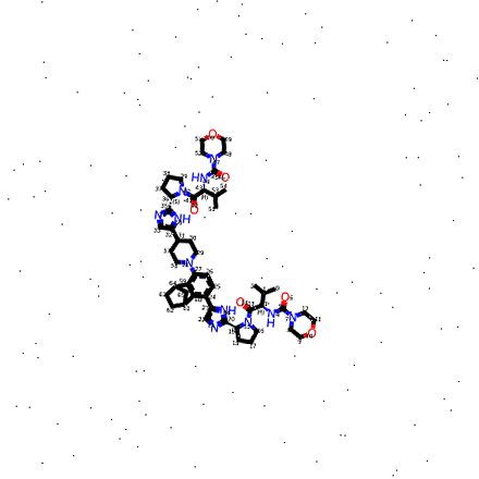 CC(C)[C@@H](NC(=O)N1CCOCC1)C(=O)N1CCC[C@H]1c1ncc(-c2ccc(N3CCC(c4cnc([C@@H]5CCCN5C(=O)[C@H](NC(=O)N5CCOCC5)C(C)C)[nH]4)CC3)c3c2C2CCC3C2)[nH]1